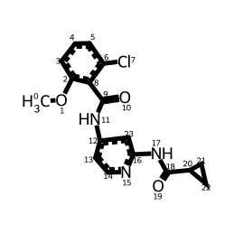 COc1cccc(Cl)c1C(=O)Nc1ccnc(NC(=O)C2CC2)c1